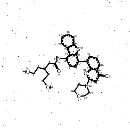 O=C(CC(CCO)CCO)Nc1ccc(-c2cccc3c(=O)cc(N4CCOCC4)oc23)c2sc3ccccc3c12